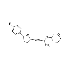 CC(C#CC1CCC(c2ccc(F)cc2)O1)OC1CCCOC1